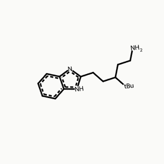 CC(C)(C)C(CCN)CCc1nc2ccccc2[nH]1